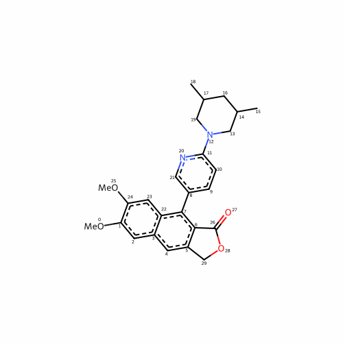 COc1cc2cc3c(c(-c4ccc(N5CC(C)CC(C)C5)nc4)c2cc1OC)C(=O)OC3